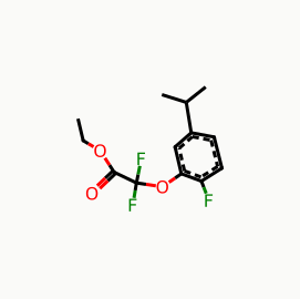 CCOC(=O)C(F)(F)Oc1cc(C(C)C)ccc1F